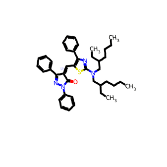 CCCCC(CC)CN(CC(CC)CCCC)c1nc(-c2ccccc2)c(/C=C2\C(=O)N(c3ccccc3)N=C2c2ccccc2)s1